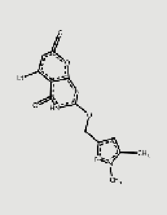 CCc1cc(=O)oc2nc(OCc3cc(C)n(C)n3)[nH]c(=O)c12